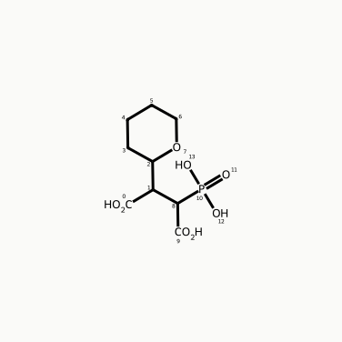 O=C(O)C(C1CCCCO1)C(C(=O)O)P(=O)(O)O